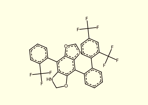 FC(F)(F)c1ccc(-c2ccccc2-c2c3c(c(-c4ccccc4C(F)(F)F)c4ocnc24)NCO3)c(C(F)(F)F)c1